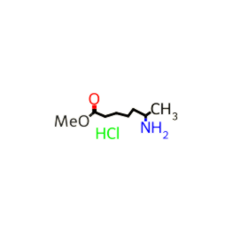 COC(=O)CCCCC(C)N.Cl